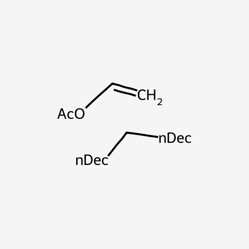 C=COC(C)=O.CCCCCCCCCCCCCCCCCCCCC